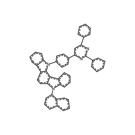 c1ccc(-c2cc(-c3ccc(-n4c5ccccc5c5ccc6c(c7ccccc7n6-c6cccc7ccccc67)c54)cc3)nc(-c3ccccc3)n2)cc1